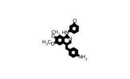 COc1cc2c(cc1OC)C(Cc1ccc(N)cc1)CN=C2Nc1cccc(Cl)c1